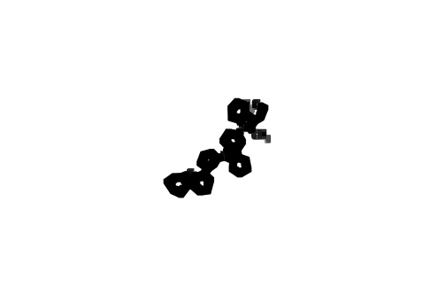 C/C=C\c1c(C)n(-c2ccc3c(c2)c2c(n3-c3cccc(-c4cccc5c4sc4ccccc45)c3)CCC=C2)c2ccccc12